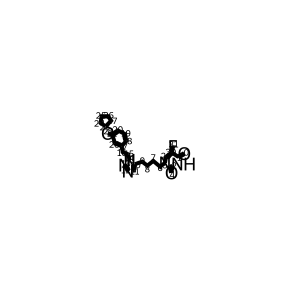 O=c1[nH]c(=O)n(CCCCc2cnnn2CCc2cccc(OC3CCCC3)c2)cc1F